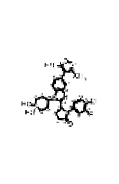 Cc1noc(C)c1-c1ccc2c(c1)nc(C1CCC(=O)N1c1ccc(Cl)c(F)c1)n2C1CCS(O)(O)CC1